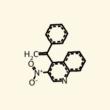 C=C(c1ccccc1)c1c([N+](=O)[O-])cnc2ccccc12